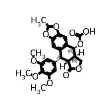 COc1cc([C@@H]2c3cc4c(cc3[C@H](OC(=O)O)[C@H]3COC(=O)[C@@H]23)OC(C)O4)cc(OC)c1OC